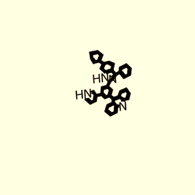 C1=CNCC(c2cc(-c3c4ccccc4nc4ccccc34)cc(C3N=C(c4ccccc4)c4ccc(-c5ccccc5)cc4N3)c2)=C1